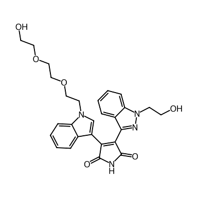 O=C1NC(=O)C(c2nn(CCO)c3ccccc23)=C1c1cn(CCOCCOCCO)c2ccccc12